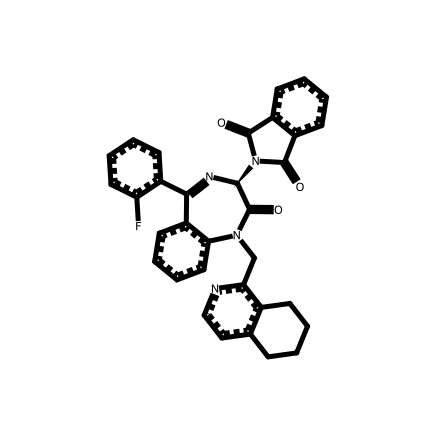 O=C1[C@H](N2C(=O)c3ccccc3C2=O)N=C(c2ccccc2F)c2ccccc2N1Cc1nccc2c1CCCC2